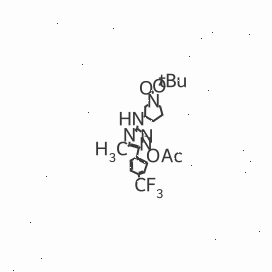 CC(=O)Oc1cc(C(F)(F)F)ccc1-c1nnc(N[C@@H]2CCCN(C(=O)OC(C)(C)C)C2)nc1C